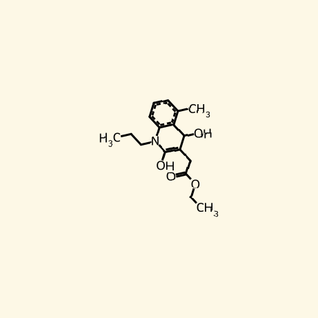 CCCN1C(O)=C(CC(=O)OCC)C(O)c2c(C)cccc21